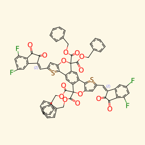 O=C1C(=O)c2c(F)cc(F)cc2/C1=C/c1cc2c(s1)-c1cc3c(cc1C(C(=O)OCc1ccccc1)(C(=O)OCc1ccccc1)O2)-c1sc(/C=C2\C(=O)C(=O)c4c(F)cc(F)cc42)cc1OC3(C(=O)OCc1ccccc1)C(=O)OCc1ccccc1